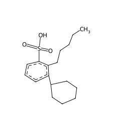 CCCCCc1c(C2CCCCC2)cccc1S(=O)(=O)O